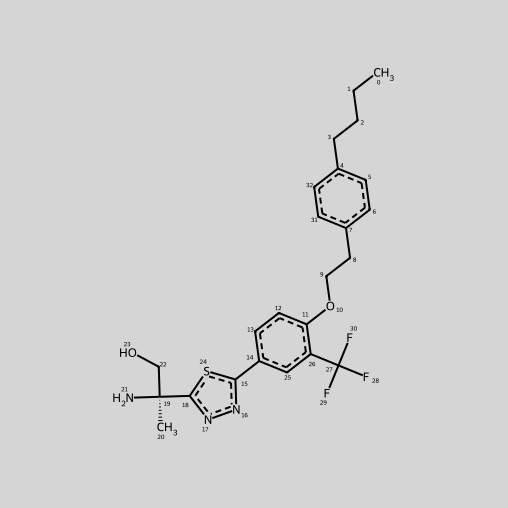 CCCCc1ccc(CCOc2ccc(-c3nnc([C@@](C)(N)CO)s3)cc2C(F)(F)F)cc1